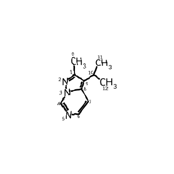 Cc1nn2cnccc2c1C(C)C